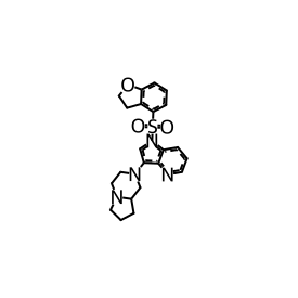 O=S(=O)(c1cccc2c1CCO2)n1cc(N2CCN3CCCC3C2)c2ncccc21